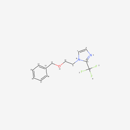 FC(F)(F)c1nccn1CCOCc1ccccc1